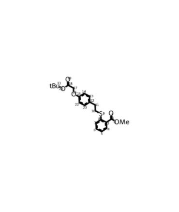 COC(=O)c1ccccc1SCCc1ccc(OCC(=O)OC(C)(C)C)cc1